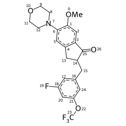 COc1cc2c(cc1N1CCOCC1)CC(Cc1cc(F)cc(OC(F)(F)F)c1)C2=O